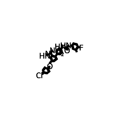 Cc1cc(NC(=O)Nc2ccc(-c3ccc(COc4ccc(Cl)cc4)c4[nH]nc(N)c34)cc2)ccc1F